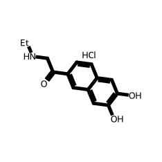 CCNCC(=O)c1ccc2cc(O)c(O)cc2c1.Cl